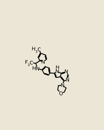 Cc1ccnc(C(Nc2ccc(-c3cc4c(N5CCOCC5)ncnc4[nH]3)cc2)C(F)(F)F)c1